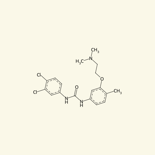 Cc1ccc(NC(=O)Nc2ccc(Cl)c(Cl)c2)cc1OCCN(C)C